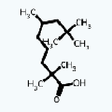 CC(CCCC(C)(C)C(=O)O)CC(C)(C)C